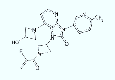 C=C(F)C(=O)N1CC(n2c(=O)n(-c3ccc(C(F)(F)F)nc3)c3nccc(N4CC(O)C4)c32)C1